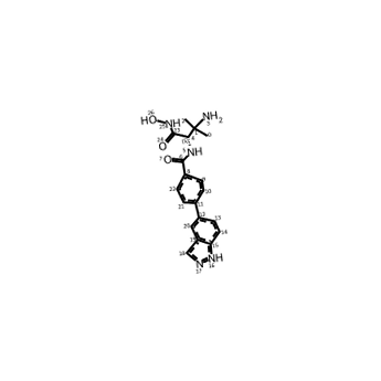 CC(C)(N)[C@H](NC(=O)c1ccc(-c2ccc3[nH]ncc3c2)cc1)C(=O)NO